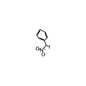 O=[N+]([O-])C(I)c1ccccc1